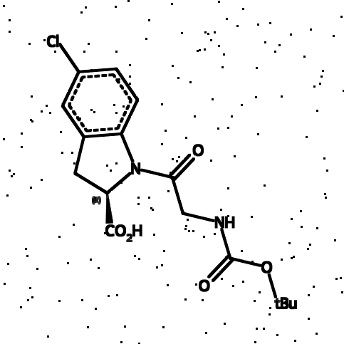 CC(C)(C)OC(=O)NCC(=O)N1c2ccc(Cl)cc2C[C@@H]1C(=O)O